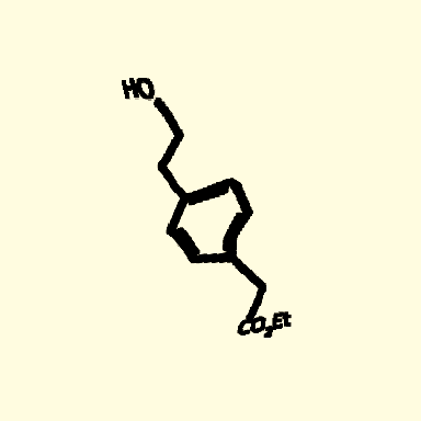 CCOC(=O)Cc1ccc(CCO)cc1